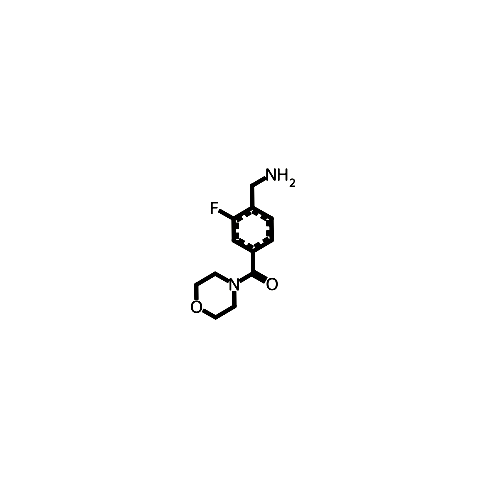 NCc1ccc(C(=O)N2CCOCC2)cc1F